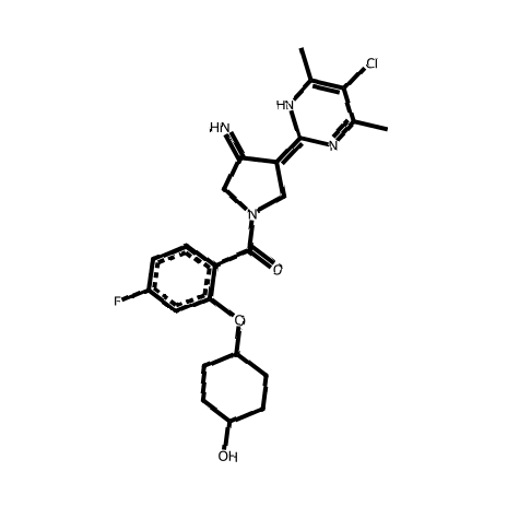 CC1=N/C(=C2\CN(C(=O)c3ccc(F)cc3OC3CCC(O)CC3)CC2=N)NC(C)=C1Cl